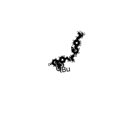 C[C@H]1CC=C(c2ccc(CCN(C)CC[C@H]3CCC(c4ccc(CCN(C)C)cc4)=NC3)cc2)N(C(=O)OC(C)(C)C)C1